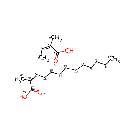 CC=C(C)C(=O)O.CCCCCCCCCCC=C(C)C(=O)O